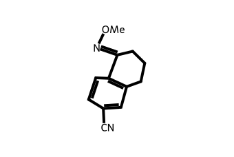 CON=C1CCCc2cc(C#N)ccc21